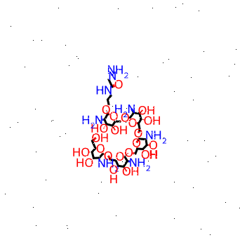 N/N=C/C(=O)NCCCO[C@@H]1OC(CO[C@H]2OC(CO[C@H]3OC(CO[C@H]4OC(CO[C@@H]5OC(CO)[C@@H](O)[C@H](O)C5N)[C@@H](O)[C@H](O)C4N)[C@@H](O)[C@H](O)C3N)[C@@H](O)[C@H](O)C2N)[C@@H](O)[C@H](O)C1N